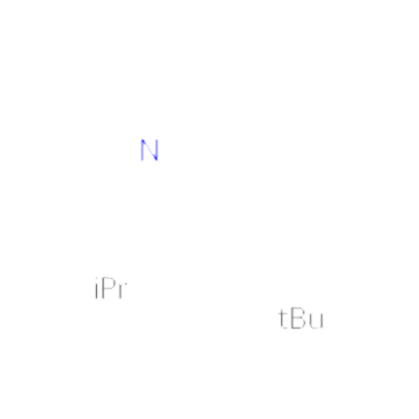 CC(C)c1ncccc1C(C)(C)C